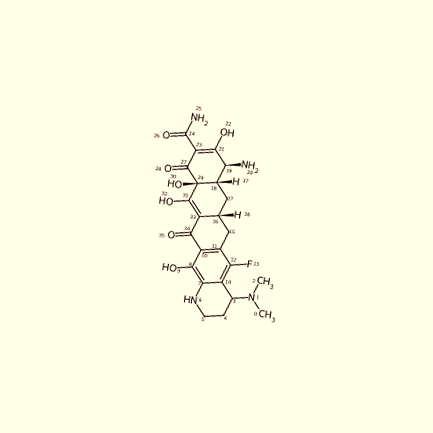 CN(C)C1CCNc2c(O)c3c(c(F)c21)C[C@H]1C[C@H]2[C@H](N)C(O)=C(C(N)=O)C(=O)[C@@]2(O)C(O)=C1C3=O